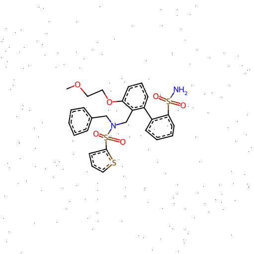 COCCOc1cccc(-c2ccccc2S(N)(=O)=O)c1CN(Cc1ccccc1)S(=O)(=O)c1cccs1